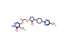 C[C@@H](CO[C@@H]1CCN(C2CCN(c3ncc(C(F)(F)F)cn3)CC2)C1=O)Oc1cn[nH]c(=O)c1C(F)(F)F